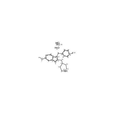 COc1ccc2c(c1)nc(CC1CCNCC1)n2Cc1ccc(F)cc1.Cl.Cl.O